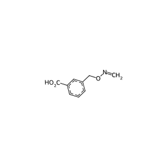 C=NOCc1cccc(C(=O)O)c1